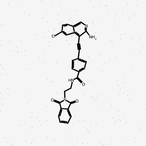 Nc1ncc2ccc(Cl)cc2c1C#Cc1ccc(C(=O)NCCN2C(=O)c3ccccc3C2=O)cc1